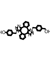 OCc1ccc(Cn2nnc3c2-c2ccccc2-c2nnn(Cc4ccc(O)cc4)c2-c2ccccc2-3)cc1